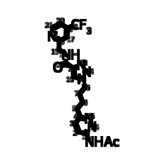 CC(=O)Nc1ccc(CCCCn2cc(C(=O)NCc3cc(C(F)(F)F)ccn3)nn2)nn1